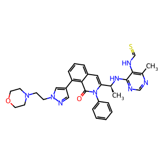 Cc1ncnc(N[C@@H](C)c2cc3cccc(-c4cnn(CCN5CCOCC5)c4)c3c(=O)n2-c2ccccc2)c1NC=S